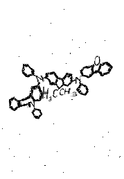 CC1(C)c2cc(N(c3ccccc3)c3ccc4oc5ccccc5c4c3)ccc2-c2ccc(N(c3ccccc3)c3ccc4c(c3)c3ccccc3n4-c3ccccc3)cc21